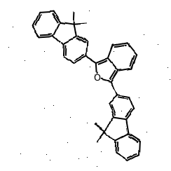 CC1(C)c2ccccc2-c2ccc(-c3oc(-c4ccc5c(c4)C(C)(C)c4ccccc4-5)c4ccccc34)cc21